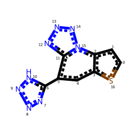 c1cc2c(cc(-c3nnn[nH]3)c3nnnn32)s1